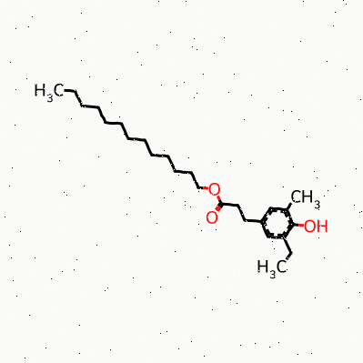 CCCCCCCCCCCCCOC(=O)CCc1cc(C)c(O)c(CC)c1